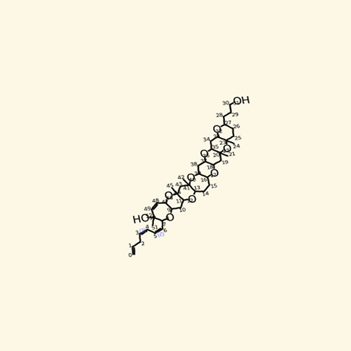 C=CC/C=C\C=C/C1OC2CC3OC4CCC5OC6CC7(C)OC8(C)CCC(CCCO)OC8CC7OC6CC5OC4(C)CC3(C)OC2C=CC1(C)O